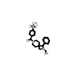 CC(C)CN1CC2(CCN(C(=O)c3ccc(S(C)(=O)=O)cc3)CC2)C1c1ccccc1